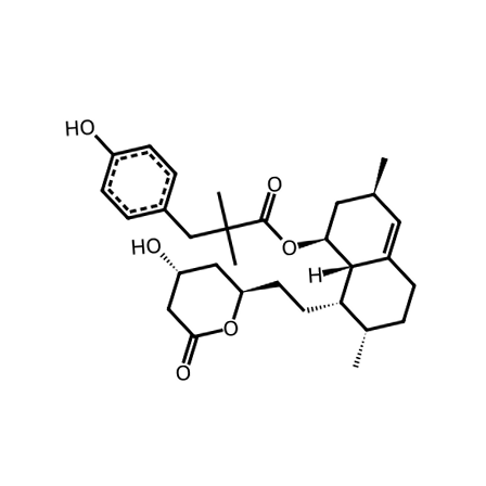 C[C@H]1C=C2CC[C@H](C)[C@H](CC[C@@H]3C[C@@H](O)CC(=O)O3)[C@@H]2[C@@H](OC(=O)C(C)(C)Cc2ccc(O)cc2)C1